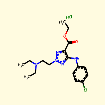 CCOC(=O)c1nn(CCN(CC)CC)nc1Nc1ccc(Cl)cc1.Cl